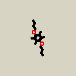 CCCCOc1c(C)c(C)c(OCCCC)c(C)c1C